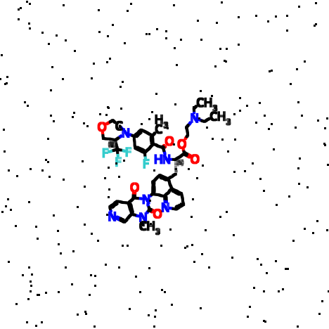 CCN(CC)CCOC(=O)[C@H](Cc1ccc(-n2c(=O)c3ccncc3n(C)c2=O)c2ncccc12)NC(=O)c1c(C)cc(N2CCOC[C@@H]2C(F)(F)F)cc1F